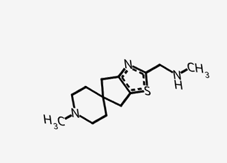 CNCc1nc2c(s1)CC1(CCN(C)CC1)C2